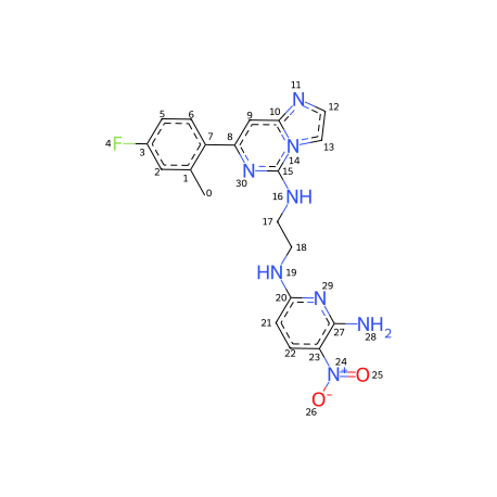 Cc1cc(F)ccc1-c1cc2nccn2c(NCCNc2ccc([N+](=O)[O-])c(N)n2)n1